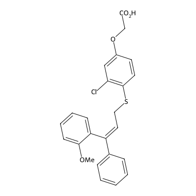 COc1ccccc1/C(=C\CSc1ccc(OCC(=O)O)cc1Cl)c1ccccc1